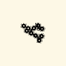 c1ccc(-c2ccc(N(c3ccc(-c4nccc5c4oc4ccccc45)cc3)c3cccc(-c4ccc(-n5c6ccccc6c6ccccc65)cc4)c3)c3ccccc23)cc1